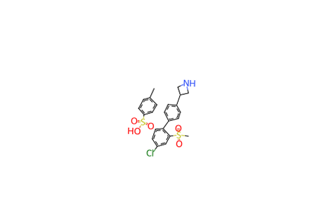 CS(=O)(=O)c1cc(Cl)ccc1-c1ccc(C2CNC2)cc1.Cc1ccc(S(=O)(=O)O)cc1